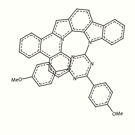 COc1ccc(-c2nc(-c3ccc(OC)cc3)nc(-n3c4ccccc4c4ccc5cc6c7ccccc7c7ccccc7n6c5c43)n2)cc1